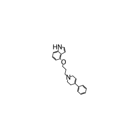 C1=C(c2ccccc2)CCN(CCCOc2cccc3[nH]ccc23)C1